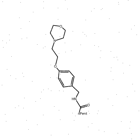 CCCCCC(=O)NCc1ccc(OCCN2CCOCC2)cc1